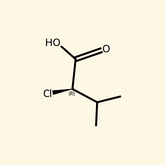 CC(C)[C@@H](Cl)C(=O)O